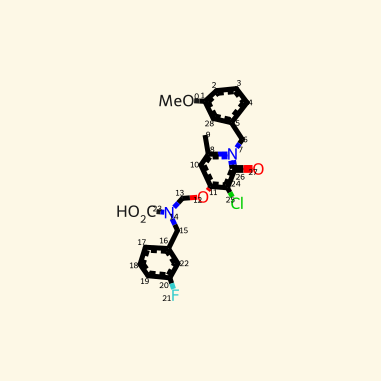 COc1cccc(Cn2c(C)cc(OCN(Cc3cccc(F)c3)C(=O)O)c(Cl)c2=O)c1